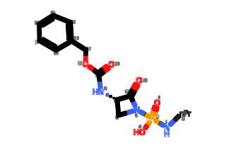 CCCNP(=O)(O)N1C[C@H](NC(=O)OCc2ccccc2)C1=O